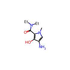 CCN(CC)C(=O)c1c(O)c(N)cn1C